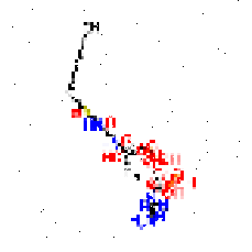 CCCCCCCCCCC=C=CCC(=O)SCCNC(=O)CCNC(=O)[C@H](O)C(C)(C)COP(=O)(O)OP(=O)(O)OC[C@H]1O[C@@H](n2cnc3c(N)ncnc32)[C@H](O)[C@@H]1OP(=O)(O)O